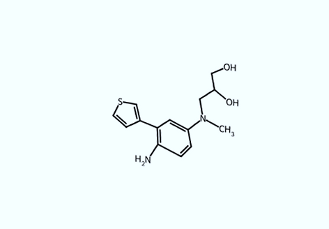 CN(CC(O)CO)c1ccc(N)c(-c2ccsc2)c1